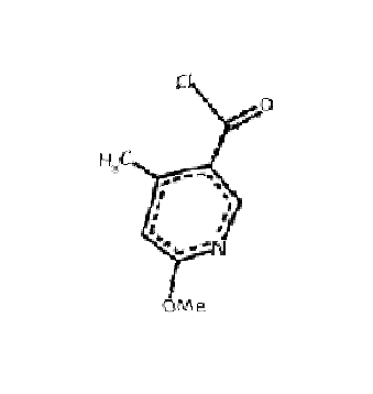 COc1cc(C)c(C(=O)Cl)cn1